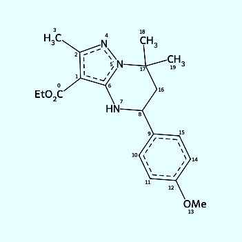 CCOC(=O)c1c(C)nn2c1NC(c1ccc(OC)cc1)CC2(C)C